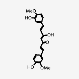 COc1ccc(/C=C/C(O)=C/C(=O)/C=C/c2ccc(O)c(OC)c2)cc1O